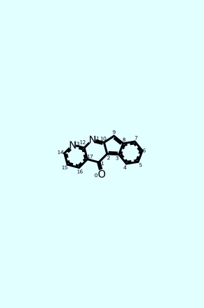 O=C1C2=c3ccccc3=CC2=Nc2ncccc21